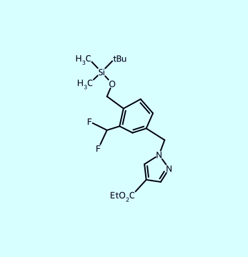 CCOC(=O)c1cnn(Cc2ccc(CO[Si](C)(C)C(C)(C)C)c(C(F)F)c2)c1